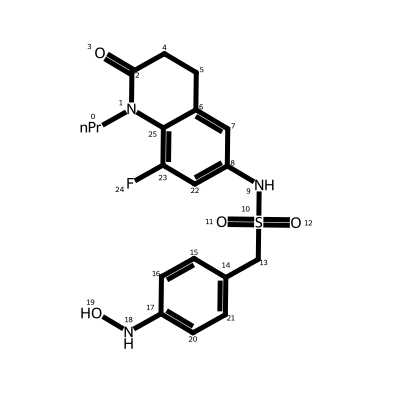 CCCN1C(=O)CCc2cc(NS(=O)(=O)Cc3ccc(NO)cc3)cc(F)c21